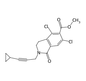 COC(=O)c1c(Cl)cc2c(c1Cl)CCN(CC#CC1CC1)C2=O